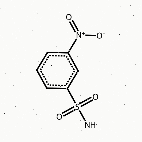 [NH]S(=O)(=O)c1cccc([N+](=O)[O-])c1